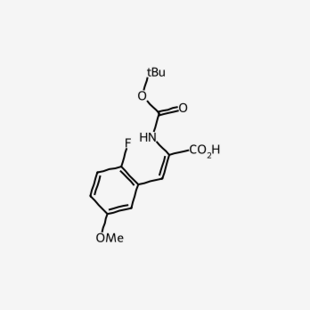 COc1ccc(F)c(/C=C(\NC(=O)OC(C)(C)C)C(=O)O)c1